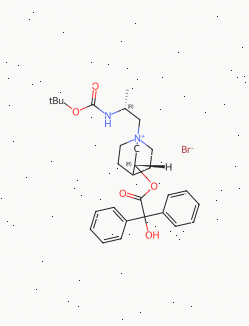 C[C@H](C[N+]12CCC(CC1)[C@@H](OC(=O)C(O)(c1ccccc1)c1ccccc1)C2)NC(=O)OC(C)(C)C.[Br-]